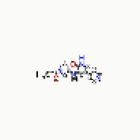 C=CC(=O)N1CCC[C@H](N(CC)c2cc(-c3ccncc3)c[nH]c2=O)C1